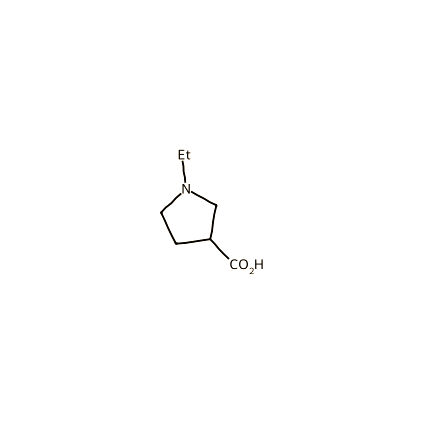 [CH2]CN1CCC(C(=O)O)C1